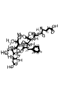 C[C@@H](O)[C@H](NC(=O)CNC(=O)[C@@H](N)CCC(=O)O)C(=O)N[C@@H](Cc1ccccc1)C(=O)N[C@H](C(=O)N[C@@H](CO)C(=O)N[C@@H](CC(=O)O)C(=O)O)[C@@H](C)O